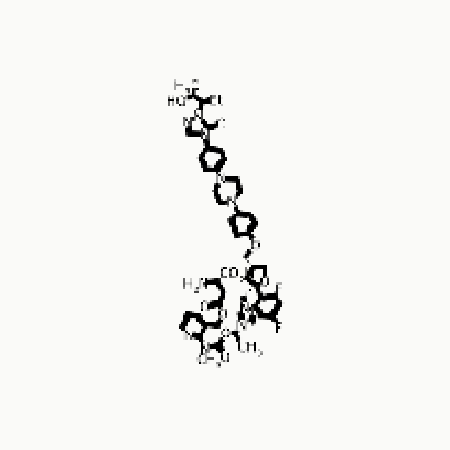 CCC([C@H](C)O)n1ncn(-c2ccc(N3CCN(c4ccc(OC[C@@H]5CO[C@@](Cn6c[n+](C(C)OC(=O)N(C)c7ncccc7COC(=O)C[C@H](N)C(=O)O)cn6)(c6ccc(F)cc6F)C5)cc4)CC3)cc2)c1=O